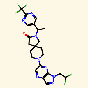 CC(c1cnc(C(F)(F)F)nc1)N1CC2(CCN(c3cnc4cnn(CC(F)F)c4n3)CC2)CC1=O